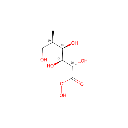 C[C@H](CO)[C@@H](O)[C@H](O)[C@H](O)C(=O)OO